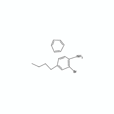 CCCCc1ccc(N)c(Br)c1.c1ccccc1